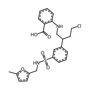 Cc1ccc(CNS(=O)(=O)c2cccc(C(CCCl)CNc3ccccc3C(=O)O)c2)o1